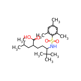 Cc1cc(C)c(S(=O)(=O)NC(CCC(CC(C)C)C(=O)O)C(C)(C)C)c(C)c1